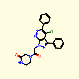 O=C1CN(C(=O)Cn2nc(-c3ccccc3)c3c(Cl)c(-c4ccccc4)nnc32)CCN1